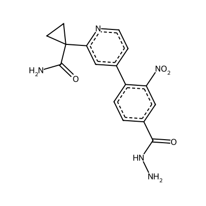 NNC(=O)c1ccc(-c2ccnc(C3(C(N)=O)CC3)c2)c([N+](=O)[O-])c1